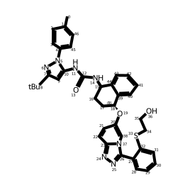 Cc1ccc(-n2nc(C(C)(C)C)cc2NC(=O)NC2CC[C@@H](Oc3ccc4nnc(-c5ccccc5SCCO)n4c3)c3ccccc32)cc1